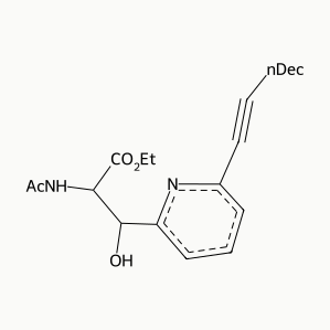 CCCCCCCCCCC#Cc1cccc(C(O)C(NC(C)=O)C(=O)OCC)n1